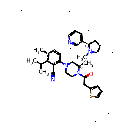 CN1CCC[C@@H]1c1cccnc1.Cc1ccc(N2CCN(C(=O)Cc3cccs3)[C@H](C)C2)c(C#N)c1C(C)C